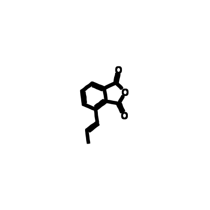 CC=Cc1cccc2c1C(=O)OC2=O